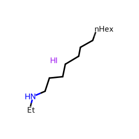 CCCCCCCCCCCCCNCC.I